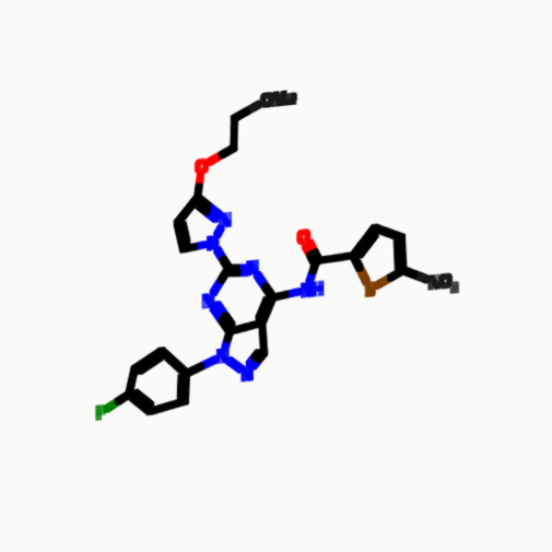 COCCOc1ccn(-c2nc(NC(=O)c3ccc([N+](=O)[O-])s3)c3cnn(-c4ccc(F)cc4)c3n2)n1